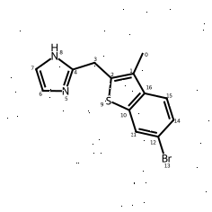 Cc1c(Cc2ncc[nH]2)sc2cc(Br)ccc12